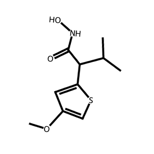 COc1csc(C(C(=O)NO)C(C)C)c1